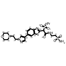 CCCS(=O)(=O)C(C(=O)NCCS(N)(=O)=O)c1nc2ccc(-c3cnn(CCN4CCOCC4)c3)cc2s1